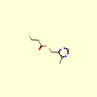 Cc1[nH]cnc1COC(=O)CCS